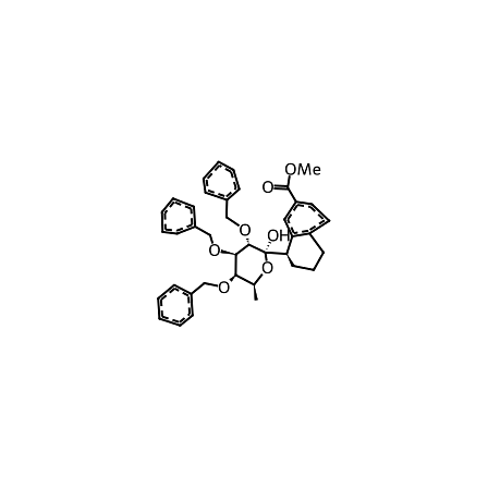 COC(=O)c1ccc2c(c1)[C@H]([C@@]1(O)O[C@@H](C)[C@@H](OCc3ccccc3)[C@@H](OCc3ccccc3)[C@@H]1OCc1ccccc1)CCC2